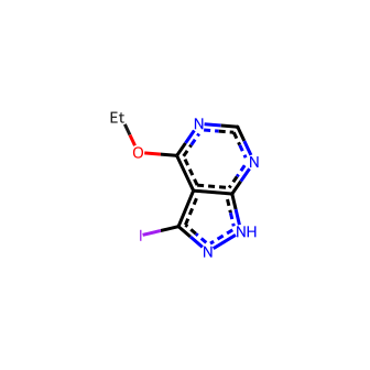 CCOc1ncnc2[nH]nc(I)c12